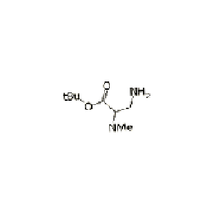 CNC(CN)C(=O)OC(C)(C)C